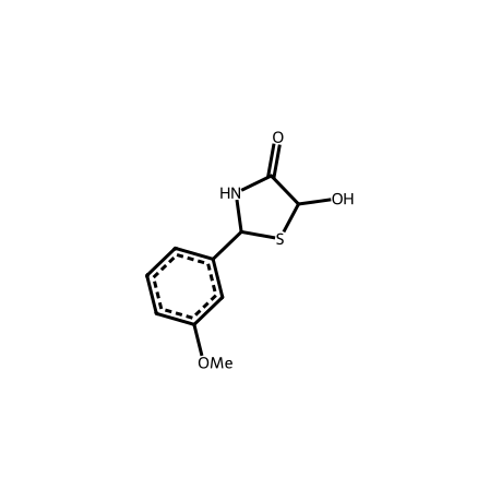 COc1cccc(C2NC(=O)C(O)S2)c1